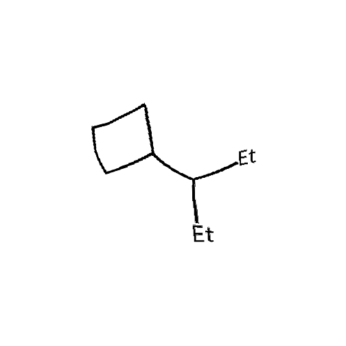 [CH2]CC(CC)C1CCC1